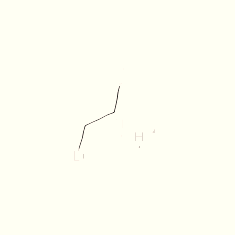 CCCC[O-].[Hf+4].[OH-]